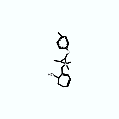 Cc1ccc(OC2C(C)P2(C)(C)CC2=CC=CCCC2O)cc1